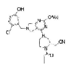 C=CC(=O)N1CCN(c2nc(OC)nc3c2CN(Cc2cc(O)ccc2Cl)C3)C[C@@H]1CC#N